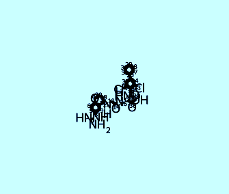 N=C(N)Nc1ccc2c(c1)C(NCC(=O)NC[C@H](NC(=O)c1c(Cl)cc(-c3ccccc3)cc1Cl)C(=O)O)CCO2